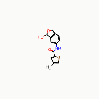 Cc1csc(C(=O)Nc2ccc3c(c2)B(O)OC3)c1